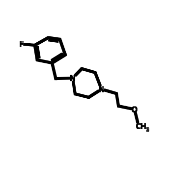 COCCN1CCN(Cc2cccc(F)c2)CC1